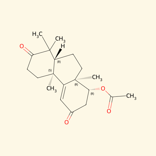 CC(=O)O[C@@H]1CC(=O)C=C2[C@@]1(C)CC[C@H]1C(C)(C)C(=O)CC[C@]21C